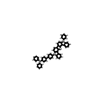 c1ccc(N(c2ccccc2)c2ccc(-c3ccc(-n4c5ccccc5c5c6oc7c(ccc8c7c7ccccc7n8-c7ccccc7)c6ccc54)cc3)cc2)cc1